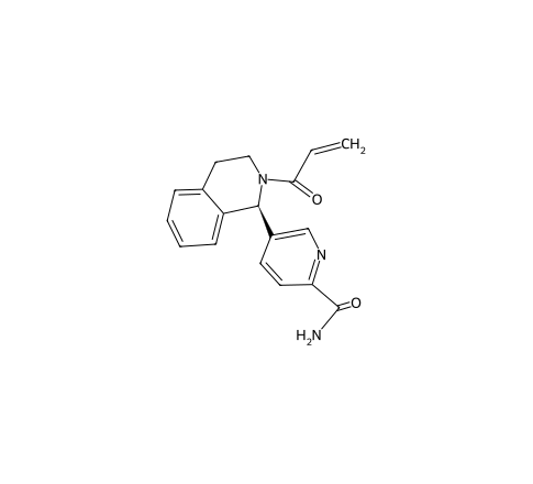 C=CC(=O)N1CCc2ccccc2[C@@H]1c1ccc(C(N)=O)nc1